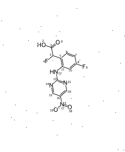 O=C(O)C(F)c1ccc(F)cc1Nc1ncc([N+](=O)[O-])cn1